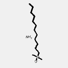 CCCCCCCCCCCC[N+](C)(C)[O-].N